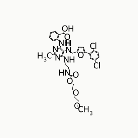 COCCOCCOC(=O)NCCNc1nc(C)nc(Nc2ccccc2C(=O)O)c1NCc1ccc(-c2cc(Cl)ccc2Cl)o1